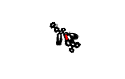 c1ccc(-c2c3ccccc3c(-c3cccc4sc5cc(-c6c7ccccc7c(-c7ccc8c(c7)sc7ccccc78)c7ccccc67)ccc5c34)c3ccccc23)cc1